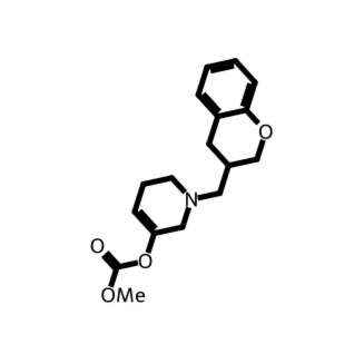 COC(=O)OC1=CCCN(CC2COc3ccccc3C2)C1